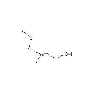 CSCC(C)=CCO